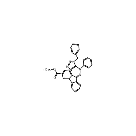 CCCCCCCCCCOC(=O)c1ccc2c(c1)-c1ccccc1/C2=N/N(c1ccccc1)c1nnnn1Cc1ccccc1